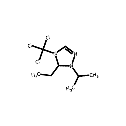 CCC1N(C(C)C)N=CN1C(Cl)(Cl)Cl